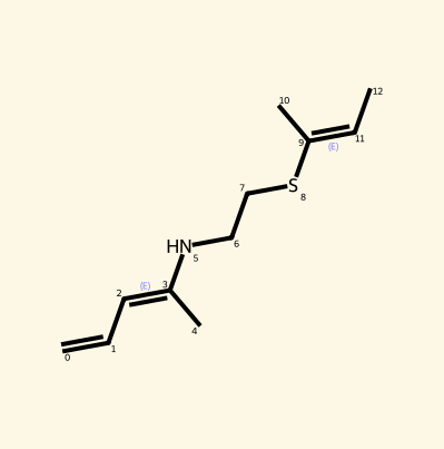 C=C/C=C(\C)NCCS/C(C)=C/C